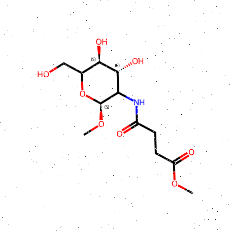 COC(=O)CCC(=O)NC1[C@@H](OC)OC(CO)[C@@H](O)[C@@H]1O